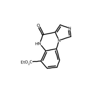 CCOC(=O)c1cccc2c1[nH]c(=O)c1cncn12